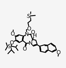 COc1ccc2cc(C3=CN4C(=O)c5cc(O[Si](C(C)C)(C(C)C)C(C)C)c(OC)cc5N(COCC[Si](C)(C)C)C(=O)[C@@H]4C3)ccc2c1